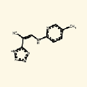 Cc1ccc(NC=C(C#N)c2nnn[nH]2)nc1